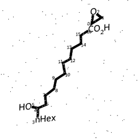 C1CO1.CCCCCCC(O)CCCCCCCCCCC(=O)O